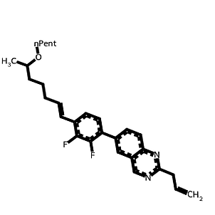 C=CCc1ncc2cc(-c3ccc(C=CCCCC(C)OCCCCC)c(F)c3F)ccc2n1